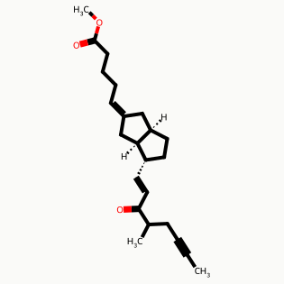 CC#CCC(C)C(=O)/C=C/[C@H]1CC[C@@H]2C/C(=C\CCCC(=O)OC)C[C@@H]21